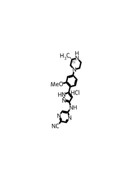 COc1cc(N2CCN[C@@H](C)C2)ccc1-c1cc(Nc2cnc(C#N)cn2)n[nH]1.Cl